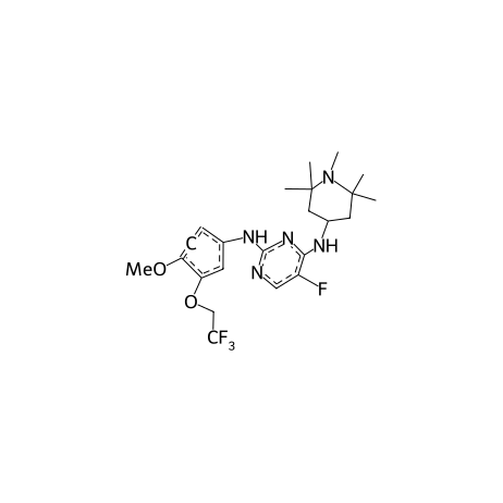 COc1ccc(Nc2ncc(F)c(NC3CC(C)(C)N(C)C(C)(C)C3)n2)cc1OCC(F)(F)F